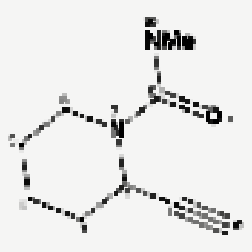 C#CC1CCCCN1C(=O)NC